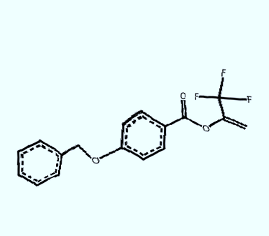 C=C(OC(=O)c1ccc(OCc2ccccc2)cc1)C(F)(F)F